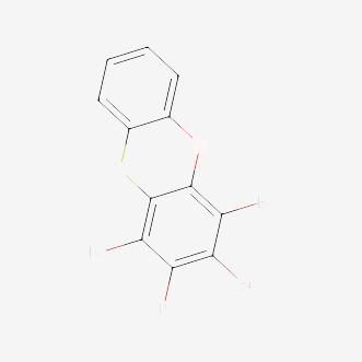 Brc1c(Br)c(Br)c2c(c1Br)Oc1ccccc1S2